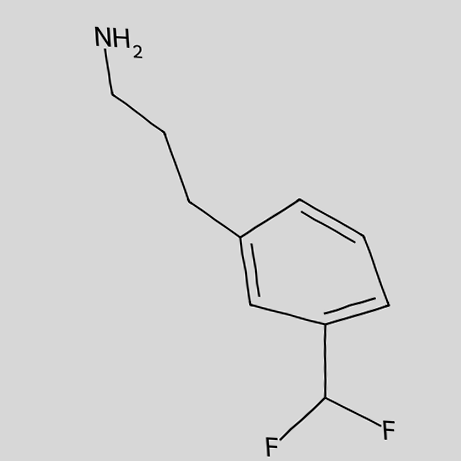 NCCCc1cccc(C(F)F)c1